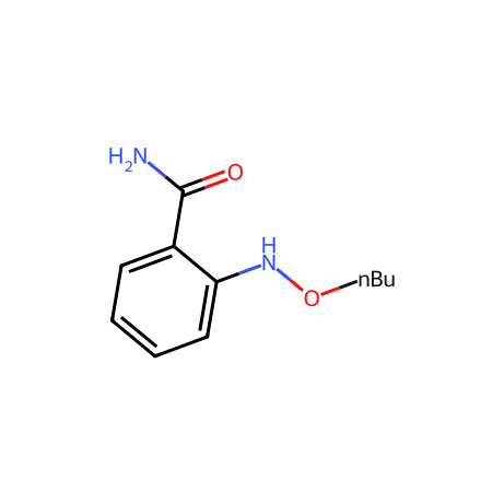 CCCCONc1ccccc1C(N)=O